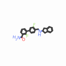 NC(=O)c1cccc(-c2ccc(CNC3Cc4ccccc4C3)c(F)c2)c1F